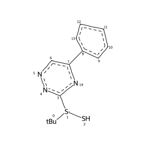 CC(C)(C)[S](S)c1nncc(-c2ccccc2)n1